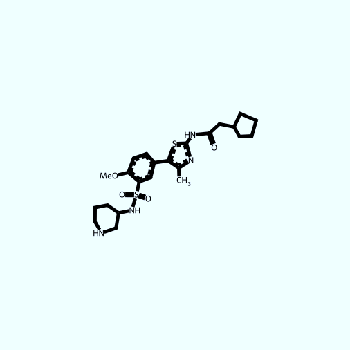 COc1ccc(-c2sc(NC(=O)CC3CCCC3)nc2C)cc1S(=O)(=O)NC1CCCNC1